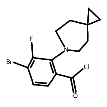 O=C(Cl)c1ccc(Br)c(F)c1N1CCC2(CC1)CC2